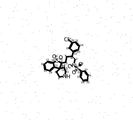 CN(C[C@@H](CCC1C2(CCNCC2)c2ccccc2S1(=O)=O)c1cccc(Cl)c1)S(=O)(=O)c1ccccc1